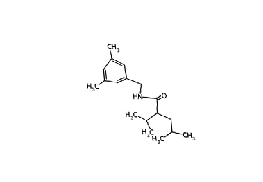 Cc1cc(C)cc(CNC(=O)C(CC(C)C)C(C)C)c1